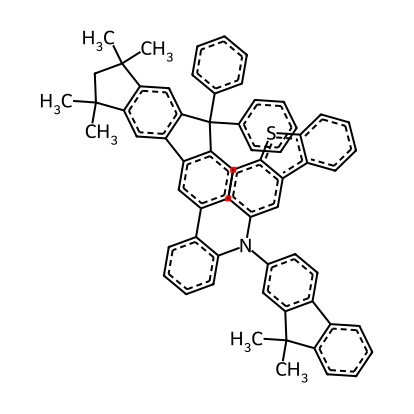 CC1(C)CC(C)(C)c2cc3c(cc21)-c1cc(-c2ccccc2N(c2ccc4c(c2)C(C)(C)c2ccccc2-4)c2ccc4sc5ccccc5c4c2)ccc1C3(c1ccccc1)c1ccccc1